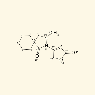 C[C@H]1CC2(CCCCC2)C(=O)N1C1=CC(=O)OC1